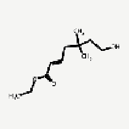 CCOC(=O)/C=C/CC(C)(C)CCO